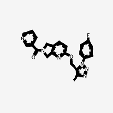 Cc1nnn(-c2ccc(F)cc2)c1COc1ccc2c(n1)CN(C(=O)c1cccnc1)C2